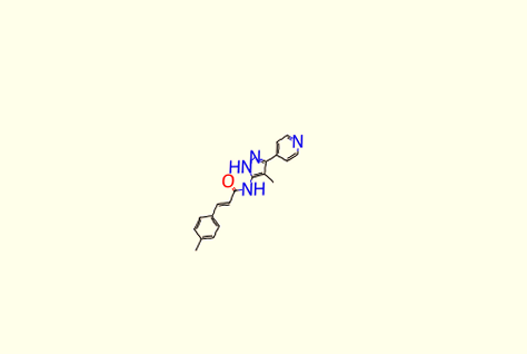 Cc1ccc(C=CC(=O)Nc2[nH]nc(-c3ccncc3)c2C)cc1